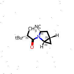 C[C@H](C(=O)N1[C@H](C#N)C[C@@H]2C[C@@H]21)C(C)(C)C